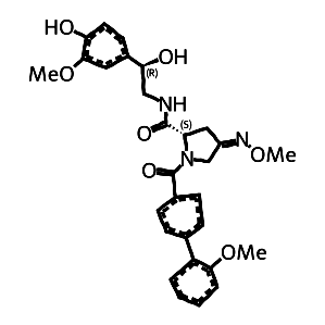 CON=C1C[C@@H](C(=O)NC[C@H](O)c2ccc(O)c(OC)c2)N(C(=O)c2ccc(-c3ccccc3OC)cc2)C1